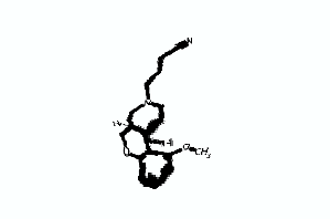 COc1cccc2c1[C@H]1CCN(CCCC#N)C[C@@H]1CO2